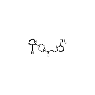 Cc1cccc(C=CC(=O)N2CCN(c3ncccc3C#N)CC2)n1